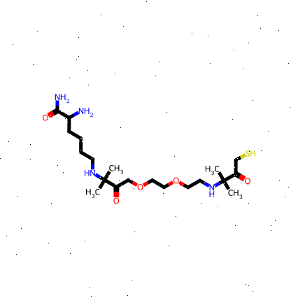 CC(C)(NCCOCCOCC(=O)C(C)(C)NCCCCC(N)C(N)=O)C(=O)CS